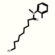 CC(=O)CCCCCCCCC(=O)N(C)c1ccccc1C